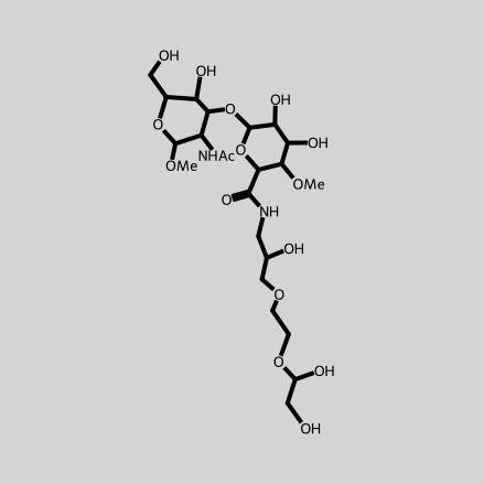 COC1OC(CO)C(O)C(OC2OC(C(=O)NCC(O)COCCOC(O)CO)C(OC)C(O)C2O)C1NC(C)=O